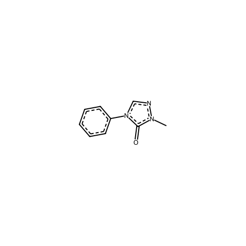 Cn1ncn(-c2ccccc2)c1=O